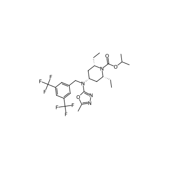 CC[C@@H]1C[C@H](N(Cc2cc(C(F)(F)F)cc(C(F)(F)F)c2)c2nnc(C)o2)C[C@H](CC)N1C(=O)OC(C)C